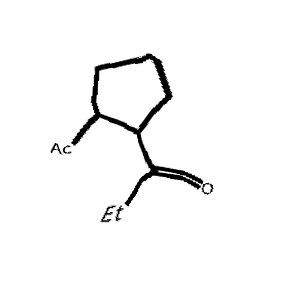 CCC(=O)C1CCCC1C(C)=O